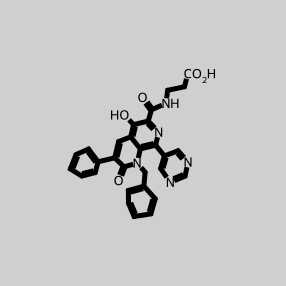 O=C(O)CCNC(=O)c1nc(-c2cncnc2)c2c(cc(-c3ccccc3)c(=O)n2Cc2ccccc2)c1O